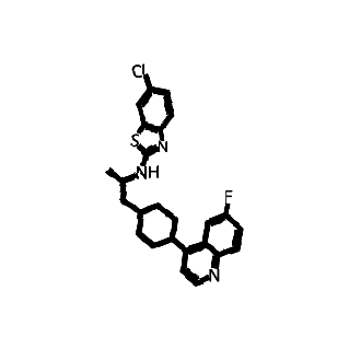 CC(CC1CCC(c2ccnc3ccc(F)cc23)CC1)Nc1nc2ccc(Cl)cc2s1